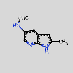 Cc1cc2cc(NC=O)cnc2[nH]1